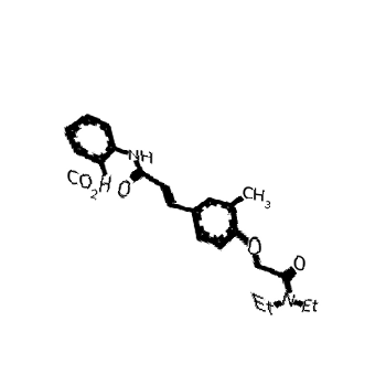 CCN(CC)C(=O)COc1ccc(/C=C/C(=O)Nc2ccccc2C(=O)O)cc1C